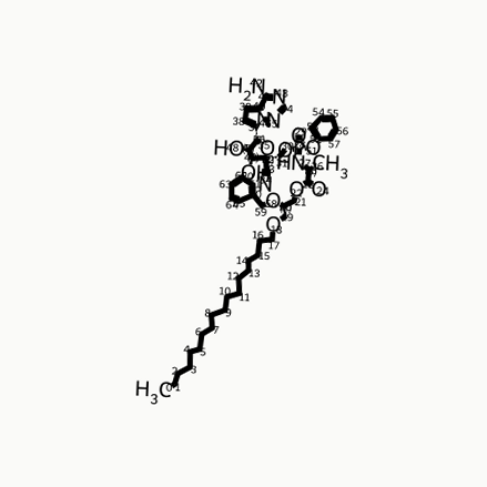 CCCCCCCCCCCCCCCCCCOC[C@H](COC(=O)[C@H](C)NP(=O)(OC[C@@]1(C#N)O[C@@H](c2ccc3c(N)ncnn23)[C@H](O)[C@@H]1O)Oc1ccccc1)OCc1ccccc1